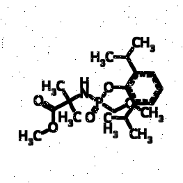 COCP(=O)(NC(C)(C)C(=O)OC)Oc1c(C(C)C)cccc1C(C)C